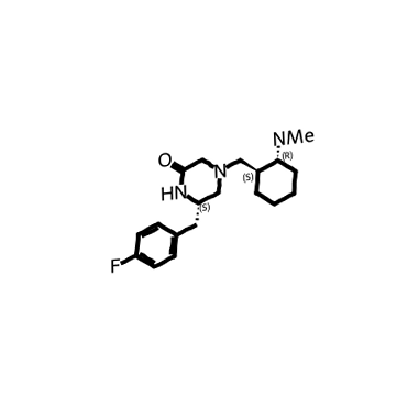 CN[C@@H]1CCCC[C@H]1CN1CC(=O)N[C@@H](Cc2ccc(F)cc2)C1